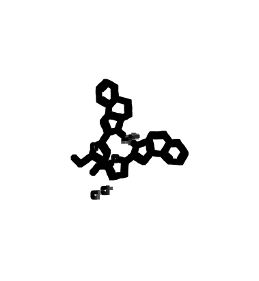 CCc1ccc(C2=Cc3c(ccc4ccccc34)[CH]2[Hf+2][CH]2C(c3ccc(CC)o3)=Cc3c2ccc2ccccc32)o1.[Cl-].[Cl-]